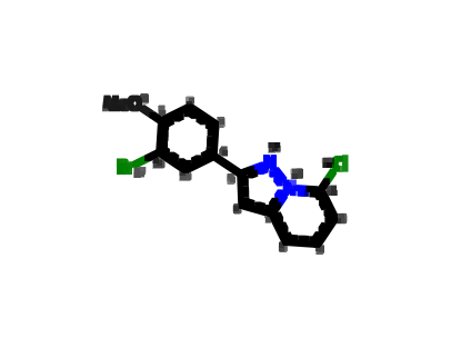 COc1ccc(-c2cc3cccc(Cl)n3n2)cc1Br